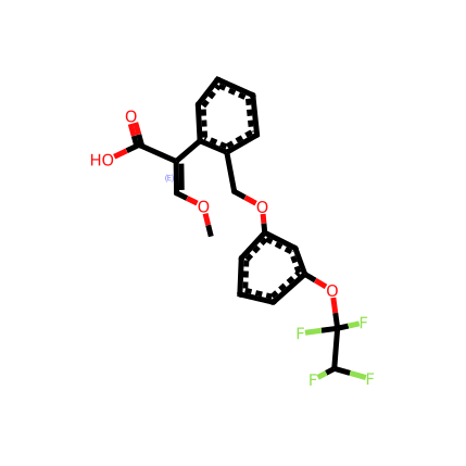 CO/C=C(/C(=O)O)c1ccccc1COc1cccc(OC(F)(F)C(F)F)c1